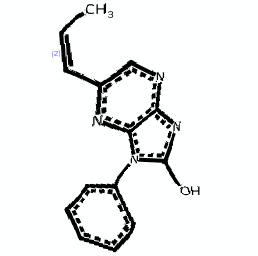 C/C=C\c1cnc2nc(O)n(-c3ccccc3)c2n1